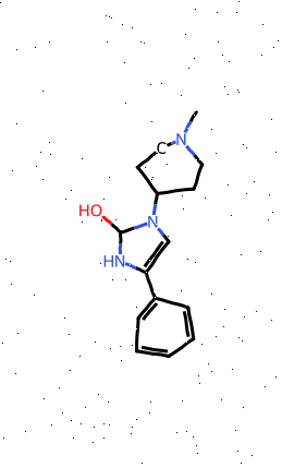 CN1CCC(N2C=C(c3ccccc3)NC2O)CC1